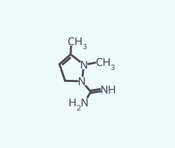 CC1=CCN(C(=N)N)N1C